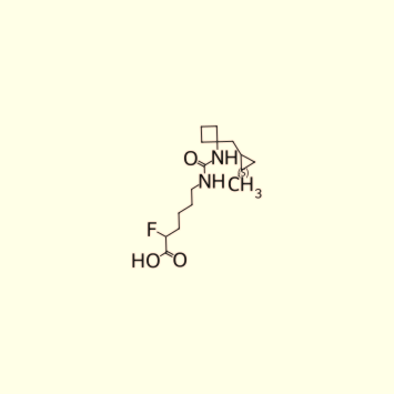 C[C@H]1CC1CC1(NC(=O)NCCCCC(F)C(=O)O)CCC1